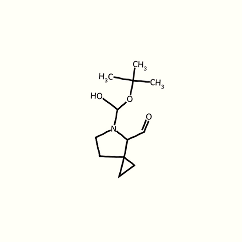 CC(C)(C)OC(O)N1CCC2(CC2)C1C=O